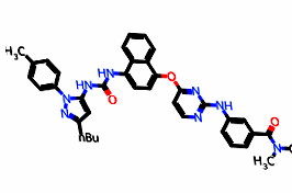 CCCCc1cc(NC(=O)Nc2ccc(Oc3ccnc(Nc4cccc(C(=O)N(C)C)c4)n3)c3ccccc23)n(-c2ccc(C)cc2)n1